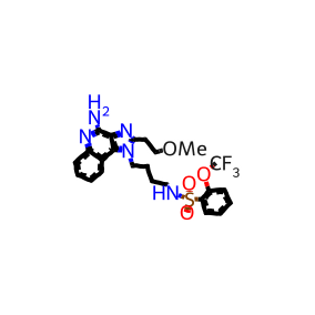 COCCc1nc2c(N)nc3ccccc3c2n1CCCCNS(=O)(=O)c1ccccc1OC(F)(F)F